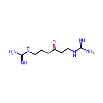 N=C(N)NCCSC(=O)CCNC(=N)N